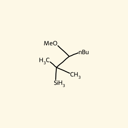 CCCCC(OC)C(C)(C)[SiH3]